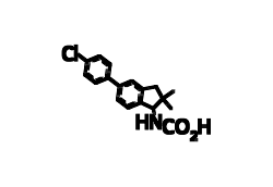 CC1(C)Cc2cc(-c3ccc(Cl)cc3)ccc2C1NC(=O)O